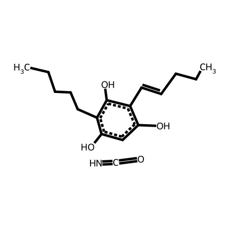 CCCC=Cc1c(O)cc(O)c(CCCCC)c1O.N=C=O